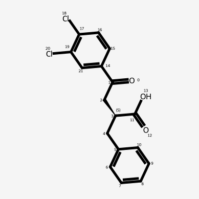 O=C(C[C@H](Cc1ccccc1)C(=O)O)c1ccc(Cl)c(Cl)c1